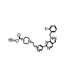 CC(C)(C)OC(=O)N1CCN(CCn2cc(-c3ncc4cnn(Cc5ccccc5F)c4n3)cn2)CC1